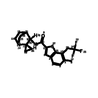 Cc1ccc2cc(C(=O)N[C@H]3C4CCN(CC4)C34CC4)sc2c1CC(F)(F)F